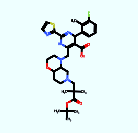 Cc1c(F)cccc1C1N=C(c2nccs2)NC(CN2CCOC3CCN(CC(C)(C)C(=O)OC(C)(C)C)CC32)=C1C(=O)O